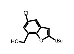 CC(C)(C)c1cc2cc(Cl)cc(CO)c2o1